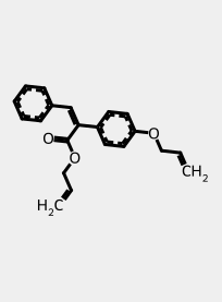 C=CCOC(=O)C(=Cc1ccccc1)c1ccc(OCC=C)cc1